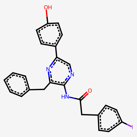 O=C(Cc1ccc(I)cc1)Nc1ncc(-c2ccc(O)cc2)nc1Cc1ccccc1